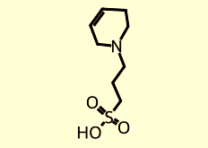 O=S(=O)(O)CCCN1CC=CCC1